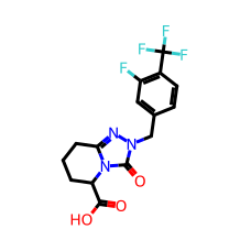 O=C(O)C1CCCc2nn(Cc3ccc(C(F)(F)F)c(F)c3)c(=O)n21